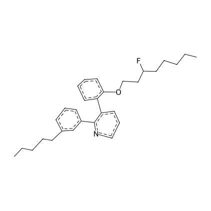 CCCCCc1cccc(-c2ncccc2-c2ccccc2OCCC(F)CCCCC)c1